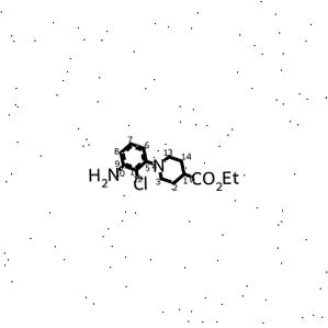 CCOC(=O)C1CCN(c2cccc(N)c2Cl)CC1